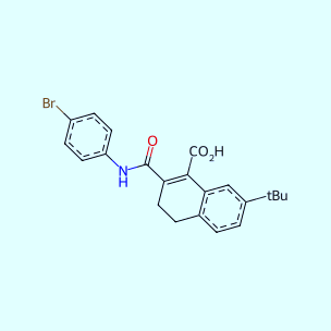 CC(C)(C)c1ccc2c(c1)C(C(=O)O)=C(C(=O)Nc1ccc(Br)cc1)CC2